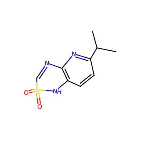 CC(C)c1ccc2c(n1)N=CS(=O)(=O)N2